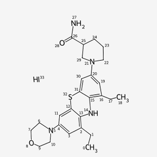 CCc1cc(N2CCOCC2)cc2c1Nc1c(CC)cc(N3CCCC(C(N)=O)C3)cc1S2.I